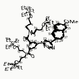 CC[Si](CC)(CC)OCCCN(CCCO[Si](CC)(CC)CC)C(=O)c1cc(-n2cc(-c3ccc4cc(OC)ccc4c3)nn2)cc(C(=O)N(CCCO[Si](CC)(CC)CC)CCCO[Si](CC)(CC)CC)n1